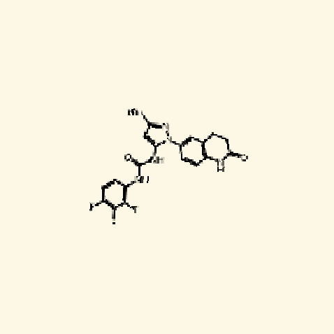 CC(C)(C)c1cc(NC(=O)Nc2ccc(F)c(F)c2F)n(-c2ccc3c(c2)CCC(=O)N3)n1